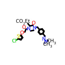 CCOC(=O)CC1C(=O)N(Cc2ccc(C=NN(C)C)cc2)CCN1C(=O)COc1ccc(Cl)s1